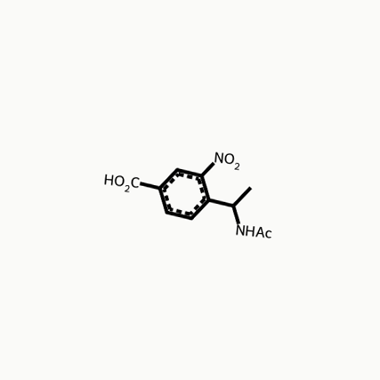 CC(=O)NC(C)c1ccc(C(=O)O)cc1[N+](=O)[O-]